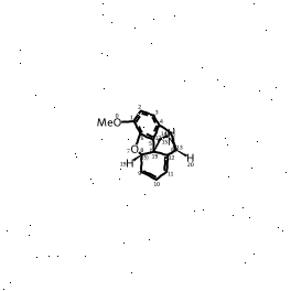 COc1ccc2c3c1O[C@H]1C=CC=C4[C@@H](C2)NCC[C@]431